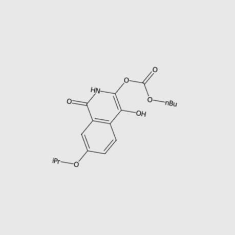 CCCCOC(=O)Oc1[nH]c(=O)c2cc(OC(C)C)ccc2c1O